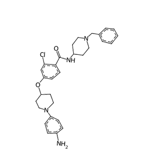 Nc1ccc(N2CCC(Oc3ccc(C(=O)NC4CCN(Cc5ccccc5)CC4)c(Cl)c3)CC2)cc1